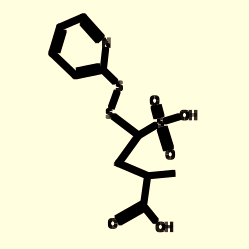 CC(CC(SSc1ccccn1)S(=O)(=O)O)C(=O)O